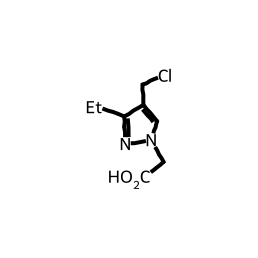 CCc1nn(CC(=O)O)cc1CCl